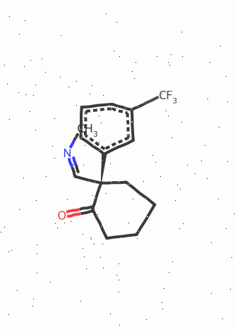 C/N=C\[C@]1(c2cccc(C(F)(F)F)c2)CCCCC1=O